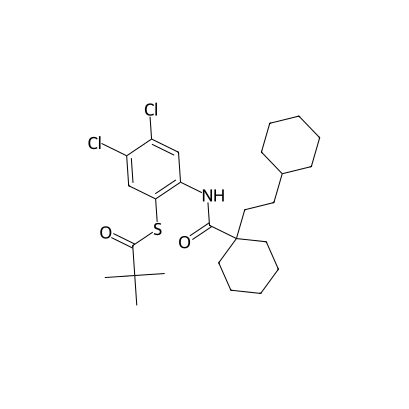 CC(C)(C)C(=O)Sc1cc(Cl)c(Cl)cc1NC(=O)C1(CCC2CCCCC2)CCCCC1